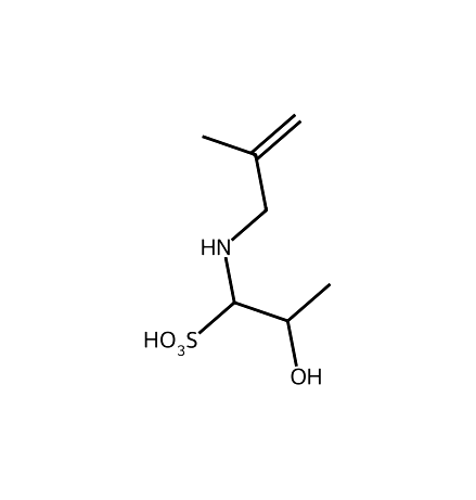 C=C(C)CNC(C(C)O)S(=O)(=O)O